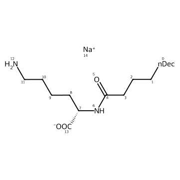 CCCCCCCCCCCCCC(=O)N[C@@H](CCCCN)C(=O)[O-].[Na+]